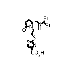 CCC(CC)NC[C@H]1CCC(=O)N1CCSc1nc(C(=O)O)cs1